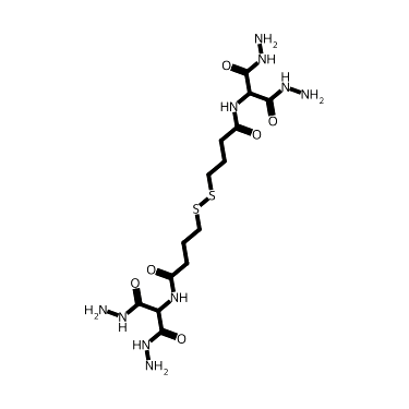 NNC(=O)C(NC(=O)CCCSSCCCC(=O)NC(C(=O)NN)C(=O)NN)C(=O)NN